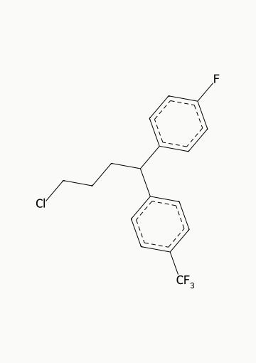 Fc1ccc(C(CCCCl)c2ccc(C(F)(F)F)cc2)cc1